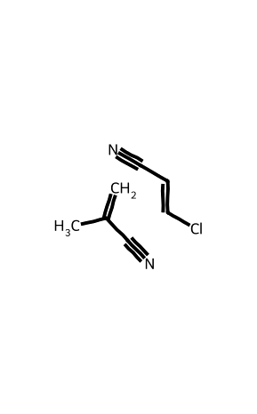 C=C(C)C#N.N#CC=CCl